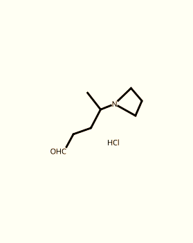 CC(CCC=O)N1CCC1.Cl